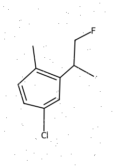 [CH2]C(CF)c1cc(Cl)ccc1C